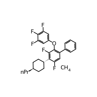 C.CCC[C@H]1CC[C@H](c2c(F)cc(-c3ccccc3)c(Oc3cc(F)c(F)c(F)c3)c2F)CC1